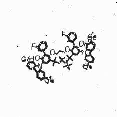 CC(C)(C)CC(C)(C)c1cc(-n2c3c[c]([Ge]([CH3])([CH3])[CH3])ccc3c3cc[c]([Ge]([CH3])([CH3])[CH3])cc32)c(O)c(-c2cccc(F)c2)c1OCCCOc1c(C(C)(C)CC(C)(C)C)cc(-n2c3c[c]([Ge]([CH3])([CH3])[CH3])ccc3c3cc[c]([Ge]([CH3])([CH3])[CH3])cc32)c(O)c1-c1cccc(F)c1